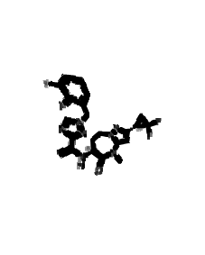 C=C(N[C@H]1CCn2nc([C@@H]3CC3(F)F)cc2N(C)C1=O)c1ncn(Cc2cccc(F)c2F)n1